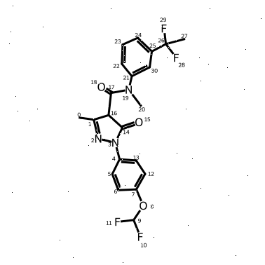 CC1=NN(c2ccc(OC(F)F)cc2)C(=O)C1C(=O)N(C)c1cccc(C(C)(F)F)c1